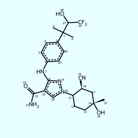 CC(C)(c1ccc(Nc2nn(C3CC[C@@](C)(O)C[C@@H]3C#N)cc2C(N)=O)cc1)C(O)C(F)(F)F